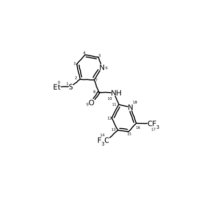 CCSc1cccnc1C(=O)Nc1cc(C(F)(F)F)cc(C(F)(F)F)n1